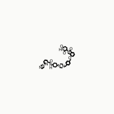 O=C1CC[C@H](N2Cc3c(OCc4ccc(CN5CCN(C6CCC(NC(=O)c7cccc(-n8ccnc8)n7)CC6)CC5)cc4)cccc3C2=O)C(=O)N1